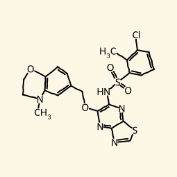 Cc1c(Cl)cccc1S(=O)(=O)Nc1nc2scnc2nc1OCc1ccc2c(c1)N(C)CCO2